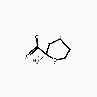 C[C@]1(C(=O)O)CCCCO1